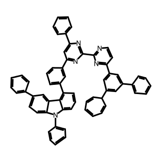 C1=CC=CC(c2cc(-c3ccccc3)cc(-c3ccnc(-c4nc(-c5ccccc5)cc(-c5cccc(-c6cccc7c6c6cc(-c8ccccc8)ccc6n7-c6ccccc6)c5)n4)n3)c2)C=C1